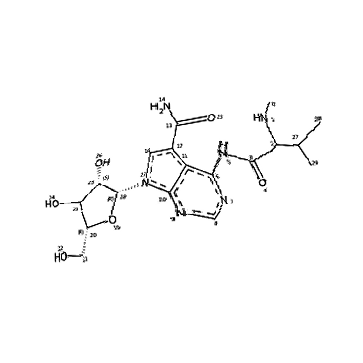 CNC(C(=O)Nc1ncnc2c1c(C(N)=O)cn2[C@@H]1O[C@H](CO)C(O)[C@@H]1O)C(C)C